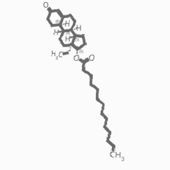 CCCCCCCCCCCCCC(=O)O[C@H]1CC[C@H]2[C@@H]3CCC4=CC(=O)CC[C@@H]4[C@H]3CC[C@]12CC